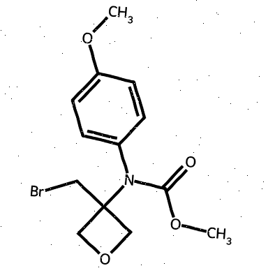 COC(=O)N(c1ccc(OC)cc1)C1(CBr)COC1